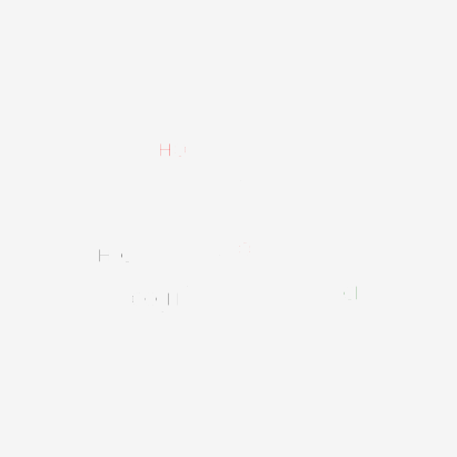 CC(C(=O)O)c1ccc(Oc2c(-c3ccc(Cl)cc3)ccc3cc(O)ccc23)cc1